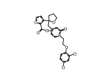 O=C(O)c1occc1C1(Cc2ccn(CCOc3ccc(Cl)cc3Cl)c(=O)c2)CCCO1